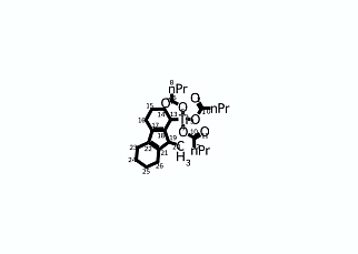 CCCC(=O)[O][Ti]([O]C(=O)CCC)([O]C(=O)CCC)[CH]1CCCC2=C1C(C)C1=C2CCCC1